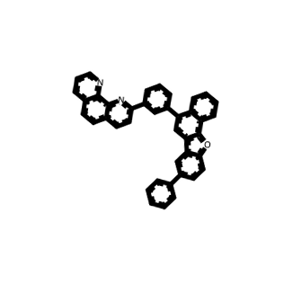 c1ccc(-c2ccc3oc4c5ccccc5c(-c5cccc(-c6ccc7ccc8cccnc8c7n6)c5)cc4c3c2)cc1